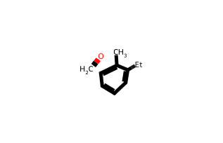 C=O.CCc1ccccc1C